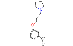 [CH2-][CH+]c1cccc(OCCCN2CCCC2)c1